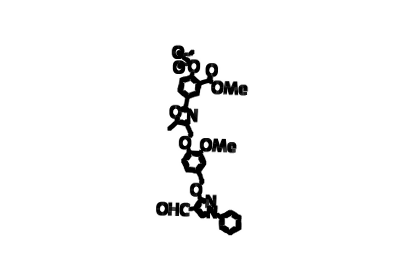 COC(=O)c1cc(-c2nc(COc3ccc(COc4nn(-c5ccccc5)cc4C=O)cc3OC)c(C)o2)ccc1OS(C)(=O)=O